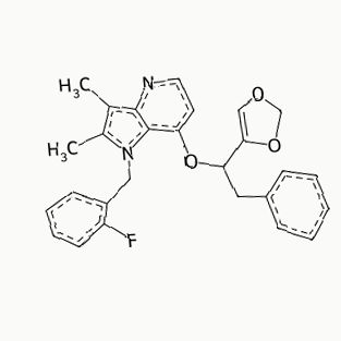 Cc1c(C)n(Cc2ccccc2F)c2c(OC(Cc3ccccc3)C3=COCO3)ccnc12